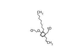 C=CCc1ccc(OCC[O])c(CCCCCCCCC)c1CC1CO1